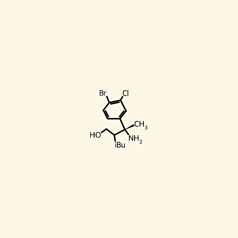 CCC(C)C(CO)[C@@](C)(N)c1ccc(Br)c(Cl)c1